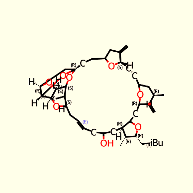 C=C1CC2CC[C@@]34C[C@H]5O[C@@H]6[C@@H](O[C@@H](C/C=C/CC(O)C[C@H]7C(C[C@H]8OC(CC[C@@H]1O2)C[C@@H](C)C8=C)O[C@H](C[C@H](C)CC)[C@@H]7C)C(C)[C@@H]6O3)[C@H]5O4